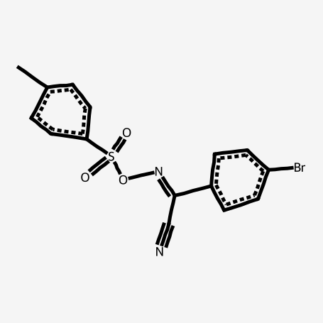 Cc1ccc(S(=O)(=O)ON=C(C#N)c2ccc(Br)cc2)cc1